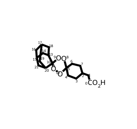 O=C(O)CC1CCC2(CC1)OOC1(OO2)C2CC3CC(C2)CC1C3